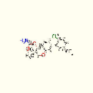 CC1(C)COc2cc(-c3cc(C(F)(F)F)ccc3Cl)ccc2C1OC(N)=O